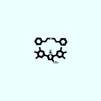 CCCCC1=C(c2cc(C)c(C)c(C)c2)[N+](=[N-])C(c2cc(C)c(C)c(C)c2)=C1.c1ccc(C[CH2][Ni][CH2]Cc2ccccc2)cc1